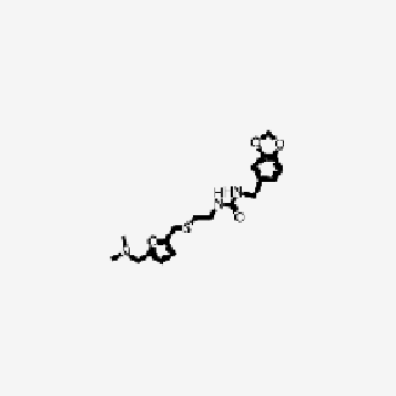 CN(C)Cc1ccc(CSCCNC(=O)NCc2ccc3c(c2)OCO3)o1